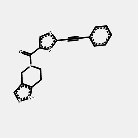 O=C(c1cnc(C#Cc2ccccc2)s1)N1CCc2[nH]ncc2C1